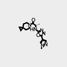 C[C@H](Nc1nnc(-c2cnn(C)c2)o1)C(=O)N1CCC2(CC1)CC2